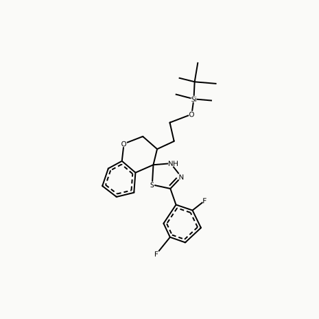 CC(C)(C)[Si](C)(C)OCCC1COc2ccccc2C12NN=C(c1cc(F)ccc1F)S2